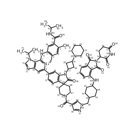 Cc1cc(F)c(Nc2nc(-c3ccc4c(c3)N(C3CC(N5CCCCC5)C3)C(=O)C43CCN(C(=O)c4cnn(CC5CCC(Nc6cccc7c6C(=O)N(C6CCC(=O)NC6=O)C7=O)CC5)c4)CC3)cc3ncn(C(C)C)c23)cc1C(=O)NC(C)C